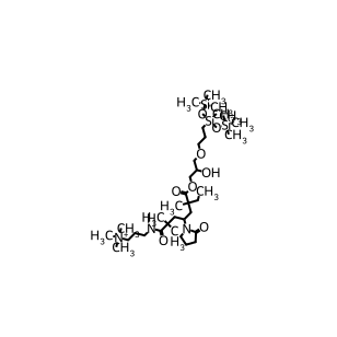 CCC(C)(CC(CC(C)(C)C(=O)NCCC[N+](C)(C)C)N1CCCC1=O)C(=O)OCC(O)COCCC[Si](C)(O[Si](C)(C)C)O[Si](C)(C)C